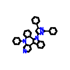 C1=C(n2c3c(c4ccccc42)-c2ccncc2N(c2ccccc2)c2ccccc2-3)N2C(c3ccccc3)N2C1c1ccccc1